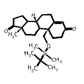 CC(C)(C)[Si](C)(C)OC[C@]12CCC(=O)C=C1CC[C@@H]1C2CC[C@]2(C)C(=O)CCC12